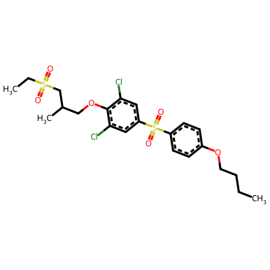 CCCCOc1ccc(S(=O)(=O)c2cc(Cl)c(OCC(C)CS(=O)(=O)CC)c(Cl)c2)cc1